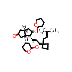 CC(C)=CCC1([C@@H](/C=C/[C@@H]2[C@H]3CC(=O)C[C@H]3C[C@H]2OC2CCCCO2)OC2CCCCO2)CCC1